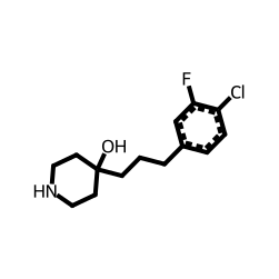 OC1(CCCc2ccc(Cl)c(F)c2)CCNCC1